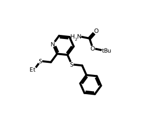 CC(C)(C)OC(N)=O.CCSCc1ncccc1SCc1ccccc1